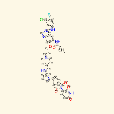 C=CC(=O)Nc1cc2c(Nc3ccc(F)c(Cl)c3)ncnc2cc1OCCCN1CCC(CN[C@H]2CCCN(c3ccc4c(c3)C(=O)N(C3CCC(=O)NC3=O)C4=O)C2)CC1